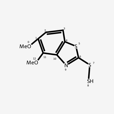 COc1ccc2sc(SS)nc2c1OC